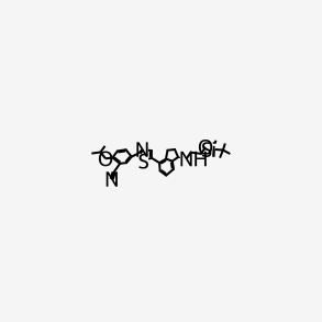 CC(C)Oc1ccc(-c2ncc(-c3cccc4c3CC[C@@H]4NCCO[Si](C)(C)C(C)(C)C)s2)cc1C#N